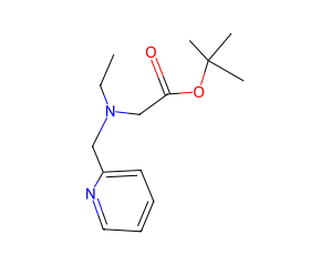 CCN(CC(=O)OC(C)(C)C)Cc1ccccn1